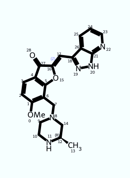 COc1ccc2c(c1CN1CCN[C@H](C)C1)O/C(=C\c1n[nH]c3ncccc13)C2=O